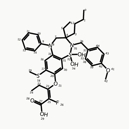 CCCCC1(CC)CN(c2ccccc2)c2cc(SC)c(O/C(CC)=C(\F)C(=O)O)cc2S(O)(O)N1Cc1ccc(OC)cc1